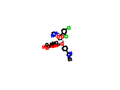 CCn1cnc(-c2ccc(OC[C@@H]3CO[C@@](Cn4ccnc4)(c4ccc(Cl)cc4Cl)O3)cc2)c1.O.O.O=[N+]([O-])O.O=[N+]([O-])O